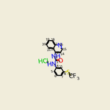 Cl.O=C(Nc1cccc(SC(F)(F)F)c1)Nc1ccnc2ccccc12